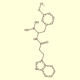 O=C(CCn1cnc2ccccc21)NC(Cc1cccc(OC(F)(F)F)c1)B(O)O